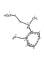 CCCCCCCCCC[SiH](C)c1ccccc1C(C)C